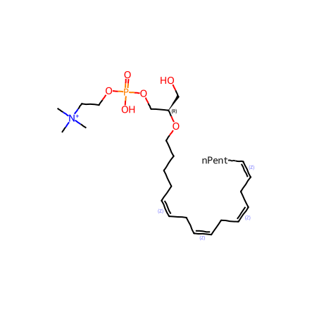 CCCCC/C=C\C/C=C\C/C=C\C/C=C\CCCCO[C@H](CO)COP(=O)(O)OCC[N+](C)(C)C